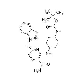 CC(C)(C)OC(=O)NC1CCC(Nc2nc(On3nnc4ccccc43)ncc2C(N)=O)CC1